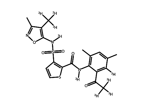 [2H]c1c(C)cc(C)c(N([2H])C(=O)c2sccc2S(=O)(=O)N([2H])c2onc(C)c2C([2H])([2H])[2H])c1C(=O)C([2H])([2H])[2H]